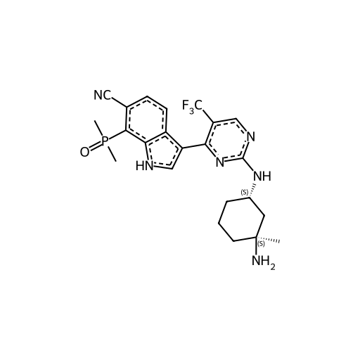 C[C@]1(N)CCC[C@H](Nc2ncc(C(F)(F)F)c(-c3c[nH]c4c(P(C)(C)=O)c(C#N)ccc34)n2)C1